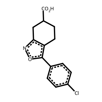 O=C(O)C1CCc2c(noc2-c2ccc(Cl)cc2)C1